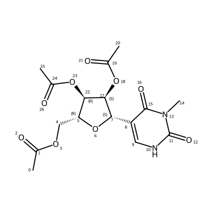 CC(=O)OC[C@H]1O[C@@H](c2c[nH]c(=O)n(C)c2=O)[C@H](OC(C)=O)[C@@H]1OC(C)=O